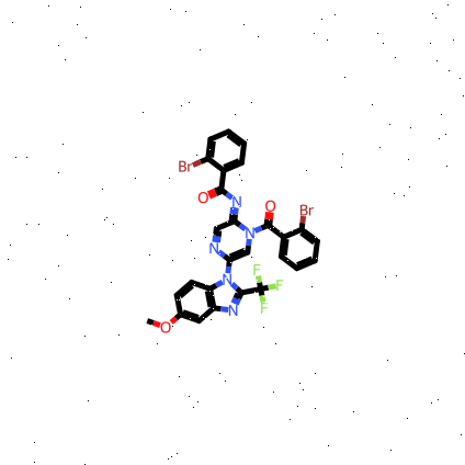 COc1ccc2c(c1)nc(C(F)(F)F)n2-c1cn(C(=O)c2ccccc2Br)c(=NC(=O)c2ccccc2Br)cn1